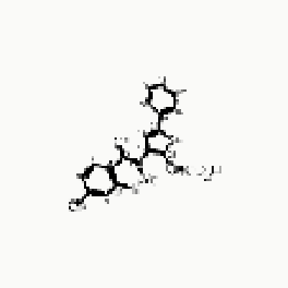 CC(C)N(C(=O)c1ccc(Cl)cc1I)c1cc(-c2ccccc2)sc1OC(=O)O